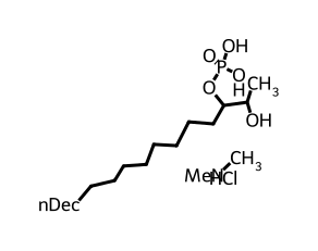 CCCCCCCCCCCCCCCCCCC(OP(=O)(O)O)C(C)O.CNC.Cl